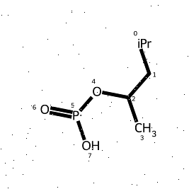 CC(C)CC(C)O[P](=O)O